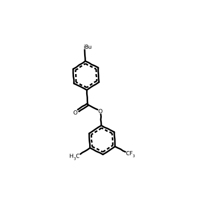 CCC(C)c1ccc(C(=O)Oc2cc(C)cc(C(F)(F)F)c2)cc1